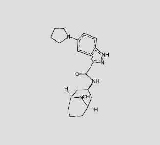 CN1[C@@H]2CCC[C@H]1C[C@@H](NC(=O)c1n[nH]c3ccc(N4CCCC4)cc13)C2